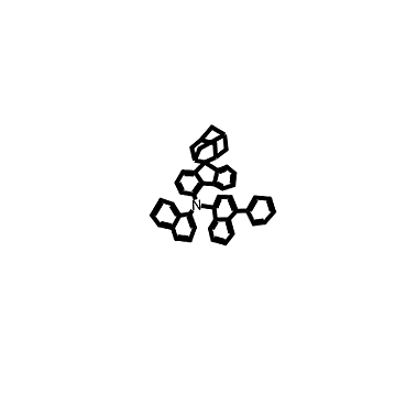 c1ccc(-c2ccc(N(c3cccc4c3-c3ccccc3C43C4CC5CC(C4)CC3C5)c3cccc4ccccc34)c3ccccc23)cc1